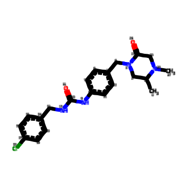 CC1CN(Cc2ccc(NC(=O)NCc3ccc(Cl)cc3)cc2)C(=O)CN1C